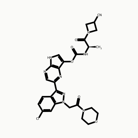 C[C@@H](NC(=O)Oc1c[nH]c2ncc(-c3nn(CC(=O)N4CCOCC4)c4cc(Cl)ccc34)nc12)C(=O)N1CC(C#N)C1